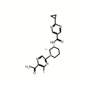 C[C@@H]1[C@H](NC(=O)c2cnc(C3CC3)nc2)CCCN1c1cnc(C(N)=O)c(I)n1